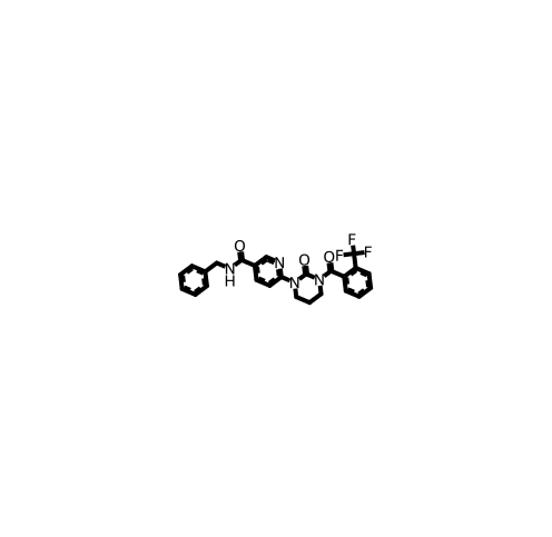 O=C(NCc1ccccc1)c1ccc(N2CCCN(C(=O)c3ccccc3C(F)(F)F)C2=O)nc1